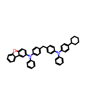 c1ccc(N(c2ccc(Cc3ccc(N(c4ccccc4)c4ccc5oc6ccccc6c5c4)cc3)cc2)c2ccc(C3CCCCC3)cc2)cc1